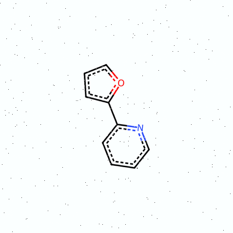 [c]1ccc(-c2ccco2)nc1